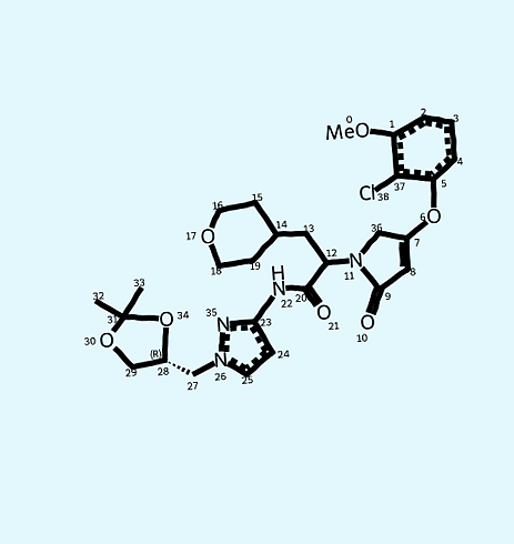 COc1cccc(OC2=CC(=O)N(C(CC3CCOCC3)C(=O)Nc3ccn(C[C@@H]4COC(C)(C)O4)n3)C2)c1Cl